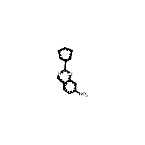 O=[N+]([O-])c1ccc2cnc(-c3ccccc3)nc2c1